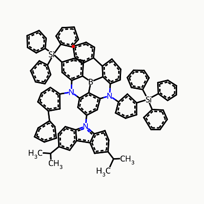 CC(C)c1ccc2c(c1)c1cc(C(C)C)ccc1n2-c1cc2c3c(c1)N(c1cccc([Si](c4ccccc4)(c4ccccc4)c4ccccc4)c1)c1cccc(-c4ccccc4)c1B3c1ccc([Si](c3ccccc3)(c3ccccc3)c3ccccc3)cc1N2c1cccc(-c2ccccc2)c1